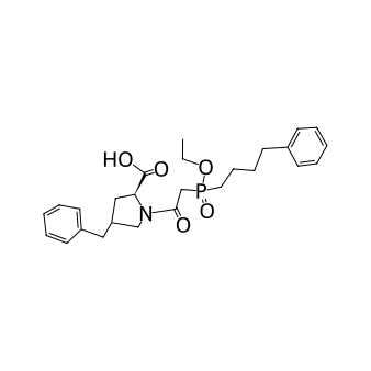 CCOP(=O)(CCCCc1ccccc1)CC(=O)N1CC(Cc2ccccc2)C[C@H]1C(=O)O